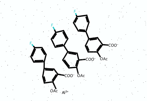 CC(=O)Oc1ccc(-c2ccc(F)cc2)cc1C(=O)[O-].CC(=O)Oc1ccc(-c2ccc(F)cc2)cc1C(=O)[O-].CC(=O)Oc1ccc(-c2ccc(F)cc2)cc1C(=O)[O-].[Al+3]